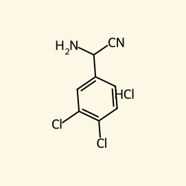 Cl.N#CC(N)c1ccc(Cl)c(Cl)c1